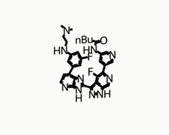 CCCCC(=O)Nc1cncc(-c2ncc3[nH]nc(-c4nc5c(-c6cc(F)cc(NCCN(C)C)c6)ccnc5[nH]4)c3c2F)c1